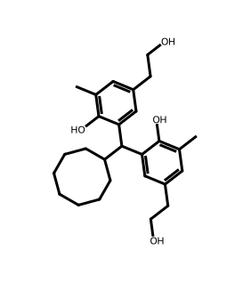 Cc1cc(CCO)cc(C(c2cc(CCO)cc(C)c2O)C2CCCCCCC2)c1O